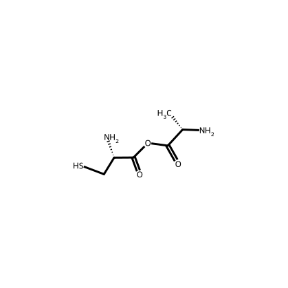 C[C@H](N)C(=O)OC(=O)[C@@H](N)CS